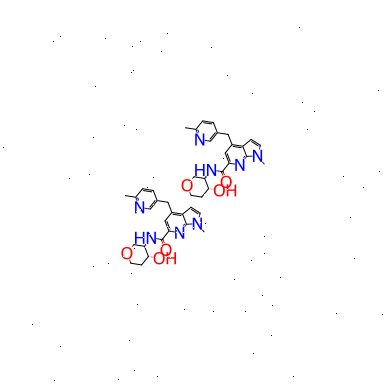 Cc1ccc(Cc2cc(C(=O)N[C@@H]3COCC[C@H]3O)nc3c2ccn3C)cn1.Cc1ccc(Cc2cc(C(=O)N[C@@H]3COCC[C@H]3O)nc3c2ccn3C)cn1